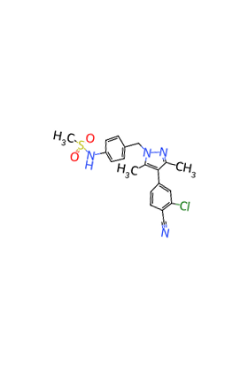 Cc1nn(Cc2ccc(NS(C)(=O)=O)cc2)c(C)c1-c1ccc(C#N)c(Cl)c1